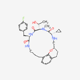 CC(O)[C@H]1C(=O)N[C@H](Cc2ccc(F)cc2)C(=O)NCCCc2cccc3c2OC(CC3)CN[C@@H](C2CC2)C(=O)N1C